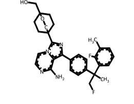 Cc1cccc(C(C)(CF)c2ccc(-c3nc(C45CCC(CO)(CC4)OC5)n4ccnc(N)c34)cc2)c1F